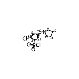 O=S(=O)(Cl)c1sc(SN2CCCC2)cc1Cl